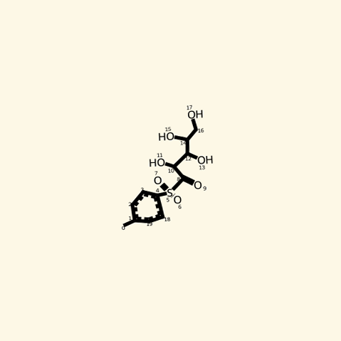 Cc1ccc(S(=O)(=O)C(=O)C(O)C(O)C(O)CO)cc1